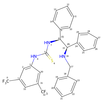 FC(F)(F)c1cc(NC(=S)N[C@@H](c2ccccc2)[C@H](NCc2ccccc2)c2ccccc2)cc(C(F)(F)F)c1